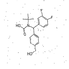 CC(C)(C)N(C(=O)O)C(c1ccc(CO)cc1)c1ccc(F)c(F)c1